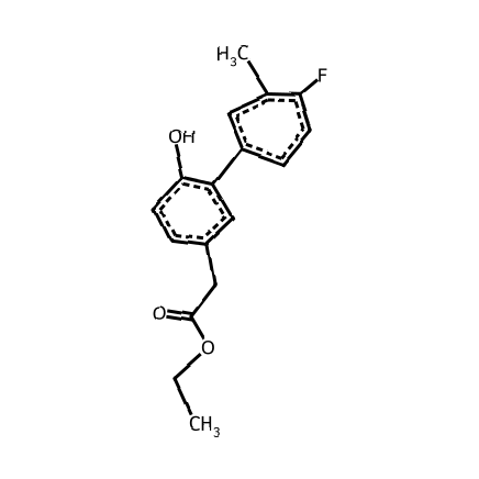 CCOC(=O)Cc1ccc(O)c(-c2ccc(F)c(C)c2)c1